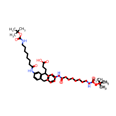 CC(C)(C)OC(=O)NCCCCCCCC(=O)Nc1ccc2c(c1)C1(CCC(=O)O)c3cc(NC(=O)CCCCCCCNC(=O)OC(C)(C)C)ccc3C2c2ccc(NC(=O)CCCCCCCNC(=O)OC(C)(C)C)cc21